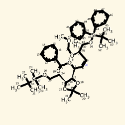 COCO[C@H](/C=C\C(OC(=O)c1ccccc1)[C@H]1OC(C)(C)O[C@H]1CCO[Si](C)(C)C(C)(C)C)[C@H](C)O[Si](c1ccccc1)(c1ccccc1)C(C)(C)C